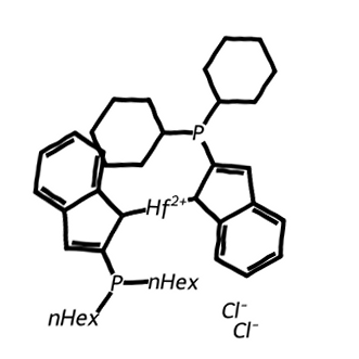 CCCCCCP(CCCCCC)C1=Cc2ccccc2[CH]1[Hf+2][CH]1C(P(C2CCCCC2)C2CCCCC2)=Cc2ccccc21.[Cl-].[Cl-]